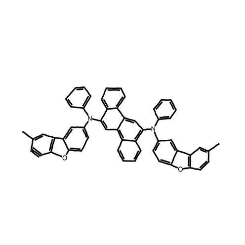 Cc1c#cc2oc3ccc(N(c4ccccc4)c4cc5c6ccccc6c(N(c6ccccc6)c6ccc7oc8ccc(C)cc8c7c6)cc5c5ccccc45)cc3c2c1